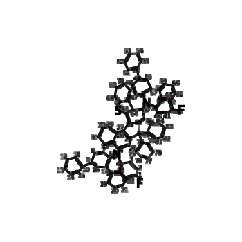 Fc1ccc(N(c2ccc(-c3ccccc3)cc2-c2ccccc2)c2cc3c(c4ccccc24)-c2c(cc(N(c4ccc(F)cc4)c4ccc(-c5ccccc5)cc4-c4ccccc4)c4c2sc2ccccc24)C3(c2ccccc2)c2ccccc2)cc1